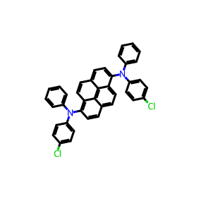 Clc1ccc(N(c2ccccc2)c2ccc3ccc4c(N(c5ccccc5)c5ccc(Cl)cc5)ccc5ccc2c3c54)cc1